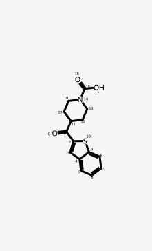 O=C(c1cc2ccccc2s1)C1CCN(C(=O)O)CC1